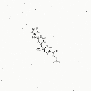 CC(C)CCC(=O)N1CCC(Cc2cccc(NN3C=NCC3)c2)CC1.Cl